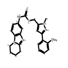 COc1ccccc1-c1cc(COC(=O)Nc2ccc3c(c2)nc2n3CCCC2)n(C)n1